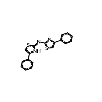 c1ccc(-c2csc(/N=c3\[nH]c(-c4ccccc4)cs3)n2)cc1